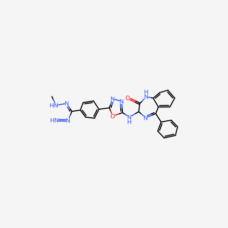 CN/N=C(\N=N)c1ccc(-c2nnc(NC3N=C(c4ccccc4)c4ccccc4NC3=O)o2)cc1